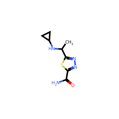 CC(NC1CC1)c1nnc(C(N)=O)s1